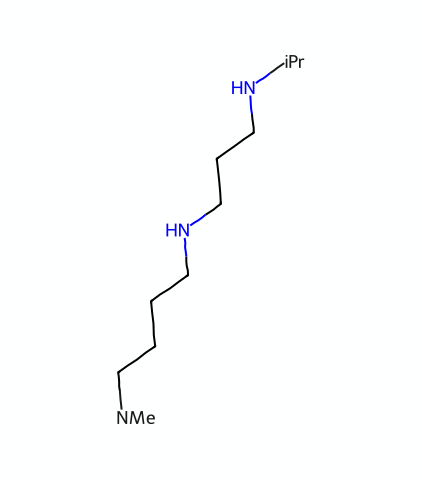 CNCCCCNCCCNC(C)C